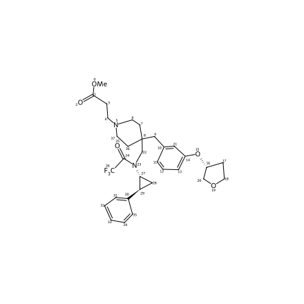 COC(=O)CCN1CCC(Cc2cccc(O[C@@H]3CCOC3)c2)(CN(C(=O)C(F)(F)F)[C@@H]2C[C@H]2c2ccccc2)CC1